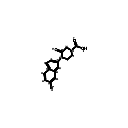 O=C(O)N1CCN(c2ccc3ccc(Br)cc3c2)C(=O)C1